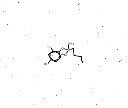 CO[Si](CCCS)(OC)Oc1ccc(C(C)(C)C)cc1C(C)(C)C